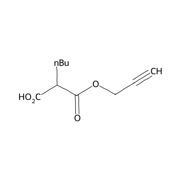 C#CCOC(=O)C(CCCC)C(=O)O